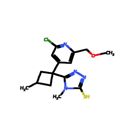 COCc1cc(C2(c3nnc(S)n3C)CC(C)C2)cc(Cl)n1